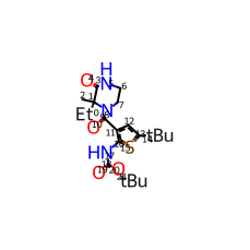 CCC1(C)C(=O)NCCN1C(=O)c1cc(C(C)(C)C)sc1NC(=O)OC(C)(C)C